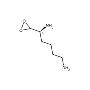 NCCCC[C@H](N)C1OO1